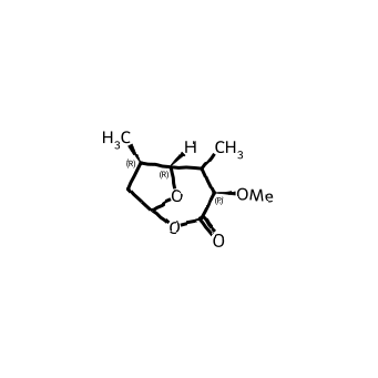 CO[C@H]1C(=O)OC2C[C@@H](C)[C@@H](O2)C1C